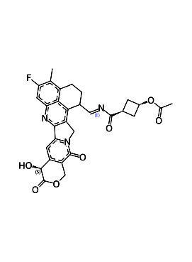 CC(=O)O[C@H]1C[C@@H](C(=O)/N=C/C2CCc3c(C)c(F)cc4nc5c(c2c34)Cn2c-5cc3c(c2=O)COC(=O)[C@H]3O)C1